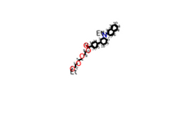 CCOCCOCCOCCOC(=O)c1ccc(C2CCCC(N(CC)c3ccc4ccccc4c3)C2)cc1